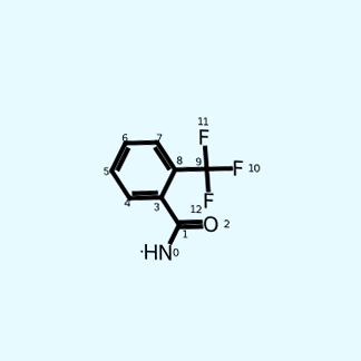 [NH]C(=O)c1ccccc1C(F)(F)F